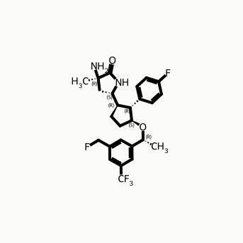 C[C@@H](O[C@H]1CC[C@@H]([C@@H]2C[C@@](C)(N)C(=O)N2)[C@@H]1c1ccc(F)cc1)c1cc(CF)cc(C(F)(F)F)c1